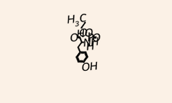 CCCOC(=O)C(Cc1ccc(O)cc1)N[PH](=O)O